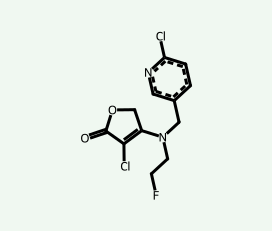 O=C1OCC(N(CCF)Cc2ccc(Cl)nc2)=C1Cl